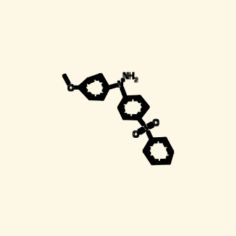 COc1ccc(N(N)c2ccc(S(=O)(=O)c3ccccc3)cc2)cc1